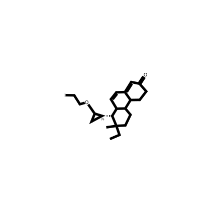 CCC1(C)CCC2C3CCC(=O)C=C3C=CC2C1[C@@H]1CC1OCCI